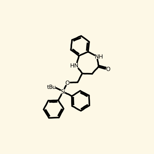 CC(C)(C)[Si](OCC1CC(=O)Nc2ccccc2N1)(c1ccccc1)c1ccccc1